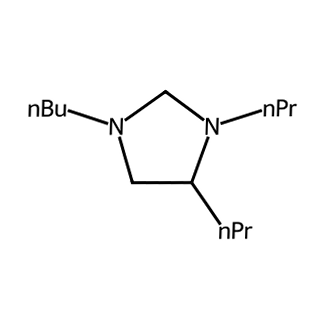 CCCCN1CC(CCC)N(CCC)C1